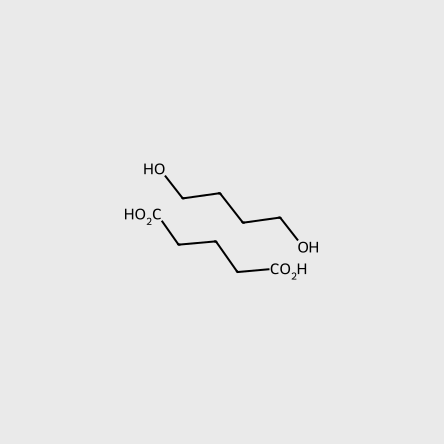 O=C(O)CCCC(=O)O.OCCCCO